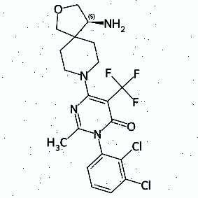 Cc1nc(N2CCC3(CC2)COC[C@H]3N)c(C(F)(F)F)c(=O)n1-c1cccc(Cl)c1Cl